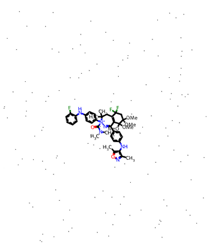 COC1(OC)CC(F)(F)C2=C(C(c3ccc(Nc4c(C)noc4C)cc3)=N[N+](C(=O)N(C)C)(c3ccc(Nc4ccccc4F)cc3)C(C)(C)C2)C1(OC)OC